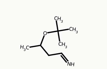 CC(CC=N)OC(C)(C)C